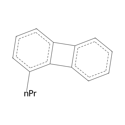 [CH2]CCc1cccc2c1-c1ccccc1-2